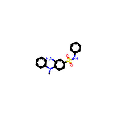 CN(c1ccccc1)c1ccc(S(=O)(=O)Nc2ccccc2)cc1N